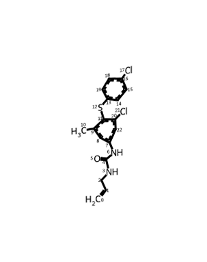 C=CCNC(=O)Nc1cc(C)c(Sc2ccc(Cl)cc2)c(Cl)c1